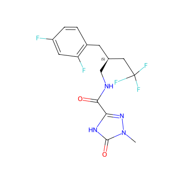 Cn1nc(C(=O)NC[C@@H](Cc2ccc(F)cc2F)CC(F)(F)F)[nH]c1=O